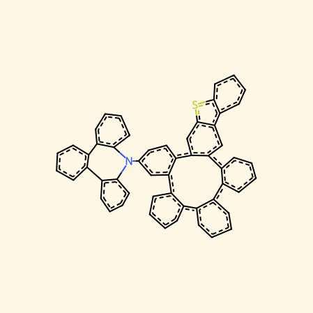 c1ccc2c(c1)-c1ccccc1N(c1ccc3c(c1)c1ccccc1c1ccccc1c1ccccc1c1cc4c(cc31)sc1ccccc14)c1ccccc1-2